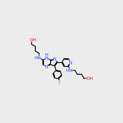 OCCCCNc1cc(-c2nc3[nH]c(NCCCCO)cnc-3c2-c2ccc(F)cc2)ccn1